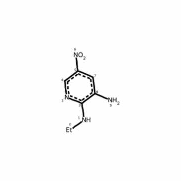 CCNc1ncc([N+](=O)[O-])cc1N